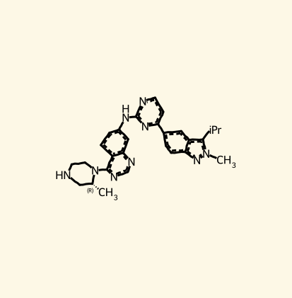 CC(C)c1c2cc(-c3ccnc(Nc4ccc5c(N6CCNC[C@H]6C)ncnc5c4)n3)ccc2nn1C